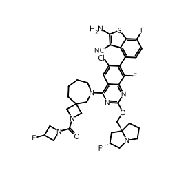 N#Cc1c(N)sc2c(F)ccc(-c3c(Cl)cc4c(N5CCCCC6(CN(C(=O)N7CC(F)C7)C6)C5)nc(OC[C@@]56CCCN5C[C@H](F)C6)nc4c3F)c12